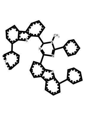 CN1C(c2ccccc2)=NC(c2cccc3c2sc2c(-c4ccccc4)cccc23)=NC1c1cccc2c1sc1c(-c3ccccc3)cccc12